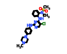 CN1CCN(c2ccc(Nc3ncc(Cl)c(Nc4ccccc4N(C)S(C)(=O)=O)n3)cc2)CC1